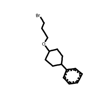 BrCCCOC1CCC(c2ccccc2)CC1